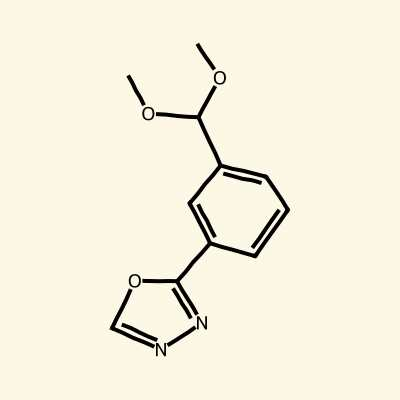 COC(OC)c1cccc(-c2nnco2)c1